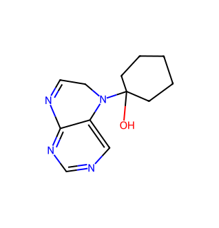 OC1(N2CC=Nc3ncncc32)CCCCC1